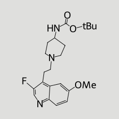 COc1ccc2ncc(F)c(CCN3CCC(NC(=O)OC(C)(C)C)CC3)c2c1